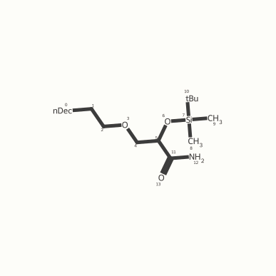 CCCCCCCCCCCCOCC(O[Si](C)(C)C(C)(C)C)C(N)=O